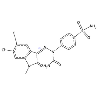 CN1C(=O)/C(=N\N(C(N)=S)c2ccc(S(N)(=O)=O)cc2)c2cc(F)c(Cl)cc21